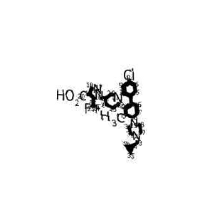 CC1C=C(c2ccc(Cl)cc2N2CCCC(n3ncc(C(=O)O)c3C(F)F)C2)C=CC1N1CCN(CC2CC2)CC1